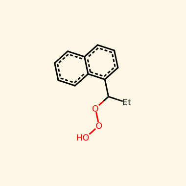 CCC(OOO)c1cccc2ccccc12